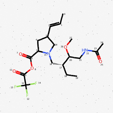 CC=CC1CC(C(=O)OC(=O)C(F)(F)F)N(C[C@@H](CC)C(CNC(C)=O)OC)C1